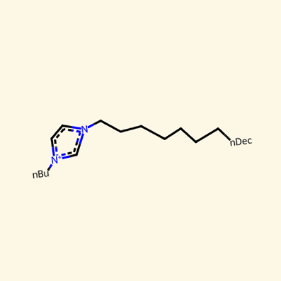 CCCCCCCCCCCCCCCCCn1cc[n+](CCCC)c1